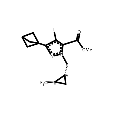 COC(=O)c1c(I)c(C23CC(C2)C3)nn1C[C@@H]1C[C@H]1C(F)(F)F